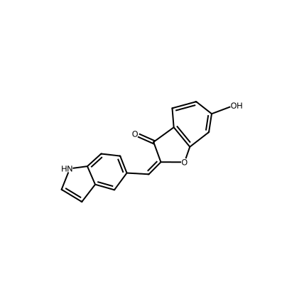 O=C1C(=Cc2ccc3[nH]ccc3c2)Oc2cc(O)ccc21